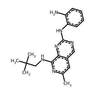 Cc1cc2cnc(Nc3ccccc3N)nc2c(NCC(C)(C)C)n1